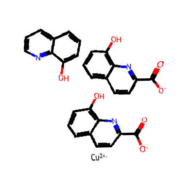 O=C([O-])c1ccc2cccc(O)c2n1.O=C([O-])c1ccc2cccc(O)c2n1.Oc1cccc2cccnc12.[Cu+2]